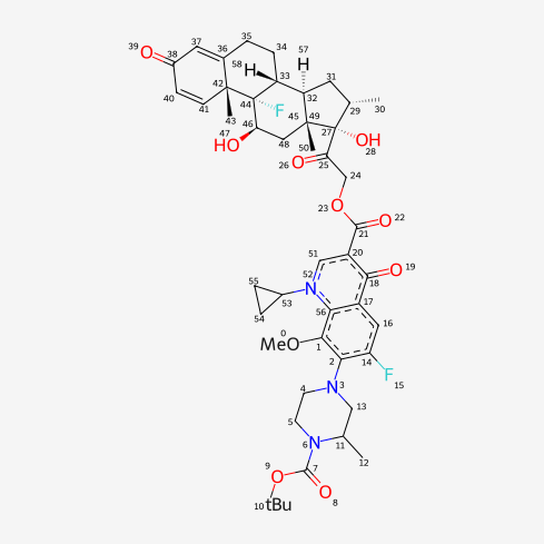 COc1c(N2CCN(C(=O)OC(C)(C)C)C(C)C2)c(F)cc2c(=O)c(C(=O)OCC(=O)[C@]3(O)[C@@H](C)C[C@@H]4[C@H]5CCC6=CC(=O)C=C[C@@]6(C)[C@]5(F)[C@H](O)C[C@]43C)cn(C3CC3)c12